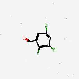 O=Cc1cc(Cl)cc(Cl)c1F